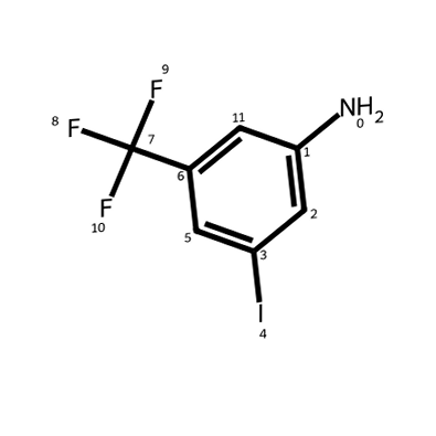 Nc1cc(I)cc(C(F)(F)F)c1